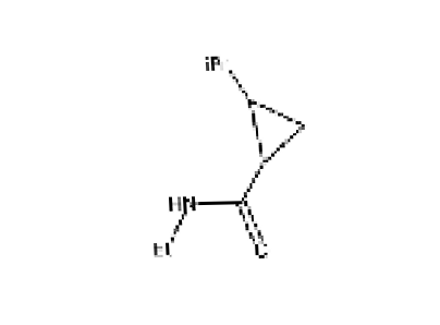 CCNC(=O)C1CC1C(C)C